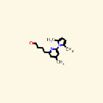 Cc1cc(CCCC=O)nc(-n2c(C)ccc2C)c1